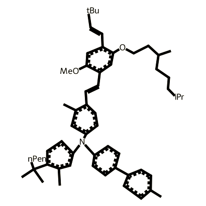 CCCCCC(C)(C)c1ccc(N(c2ccc(-c3ccc(C)cc3)cc2)c2ccc(C=Cc3cc(OCCC(C)CCCC(C)C)c(C=CC(C)(C)C)cc3OC)c(C)c2)cc1C